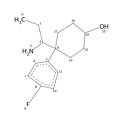 CCC(N)C1(c2ccc(F)cc2)CCC(O)CC1